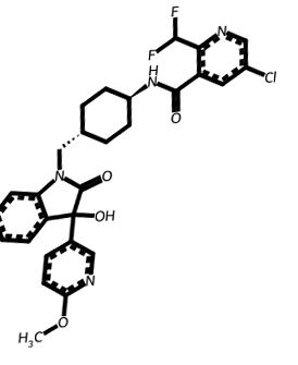 COc1ccc(C2(O)C(=O)N(C[C@H]3CC[C@H](NC(=O)c4cc(Cl)cnc4C(F)F)CC3)c3ccccc32)cn1